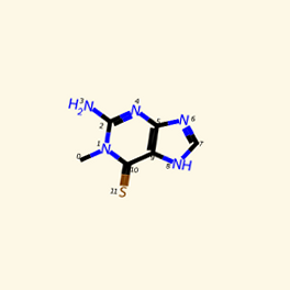 Cn1c(N)nc2nc[nH]c2c1=S